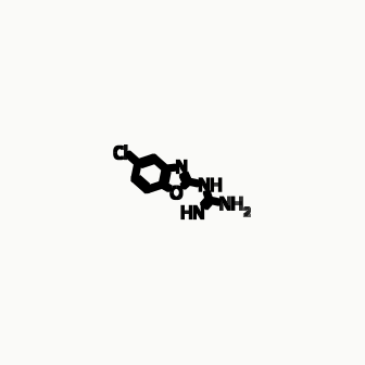 N=C(N)Nc1nc2cc(Cl)ccc2o1